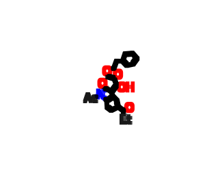 CCC(=O)c1ccc2c(c1)C(=C(O)C1=COC(Cc3ccccc3)O1)C(=O)N2C(C)=O